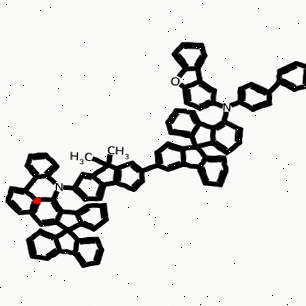 CC1(C)c2cc(-c3ccc4c(c3)-c3ccccc3C43c4ccccc4-c4c(N(c5ccc(-c6ccccc6)cc5)c5ccc6oc7ccccc7c6c5)cccc43)ccc2-c2ccc(N(c3ccccc3-c3ccccc3)c3cccc4c3-c3ccccc3C43c4ccccc4-c4ccccc43)cc21